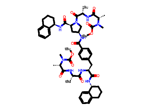 C[C@@H](C(=O)N[C@H](C(=O)N[C@@H](Cc1ccc(C(=O)N[C@H]2C[C@@H](C(=O)N[C@@H]3CCCc4ccccc43)N(C(=O)[C@@H](NC(=O)[C@H](C)N(C)C(=O)OC(C)(C)C)C(C)(C)C)C2)cc1)C(=O)N[C@@H]1CCCc2ccccc21)C(C)(C)C)N(C)C(=O)OC(C)(C)C